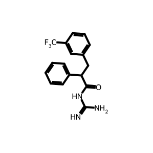 N=C(N)NC(=O)C(Cc1cccc(C(F)(F)F)c1)c1ccccc1